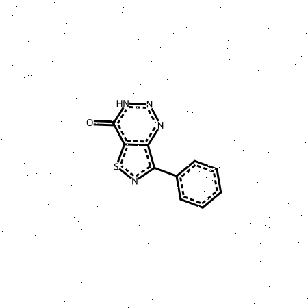 O=c1[nH]nnc2c(-c3ccccc3)nsc12